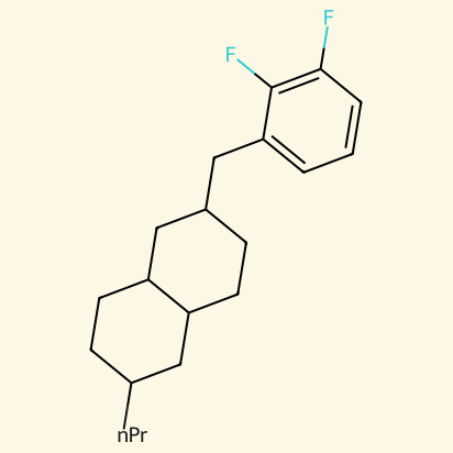 CCCC1CCC2CC(Cc3cccc(F)c3F)CCC2C1